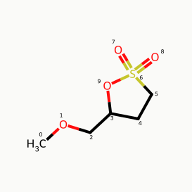 COCC1CCS(=O)(=O)O1